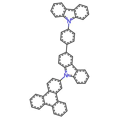 c1ccc2c(c1)c1ccccc1c1cc(-n3c4ccccc4c4cc(-c5ccc(-n6c7ccccc7c7ccccc76)cc5)ccc43)ccc21